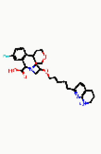 O=C(O)C(c1cc(F)ccc1C1CCOCC1)N1CC(OCCCCCc2ccc3c(n2)NCCC3)C1